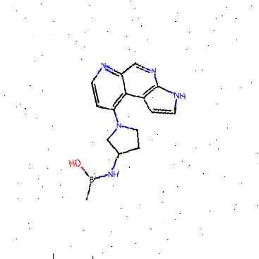 CB(O)NC1CCN(c2ccnc3cnc4[nH]ccc4c23)C1